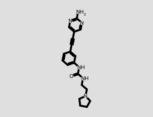 Nc1ncc(C#Cc2cccc(NC(=O)NCCN3CCCC3)c2)cn1